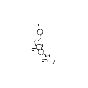 O=C(O)C(=O)Nc1ccc2c(=O)n3c(nc2c1)C(=Cc1ccc(F)cc1)CC3